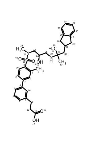 Cc1cc(-c2cccc(CCC(=O)O)c2)ccc1S(=O)(=O)N(C)C[C@H](O)CNC(C)(C)CC1Cc2ccccc2C1